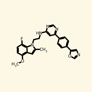 COc1ccc(F)c2c1cc(C)n2CCNc1cc(-c2ccc(-c3cnco3)cc2)ncn1